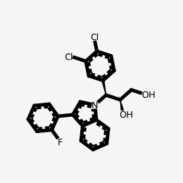 OC[C@@H](O)[C@H](c1ccc(Cl)c(Cl)c1)n1cc(-c2ccccc2F)c2ccccc21